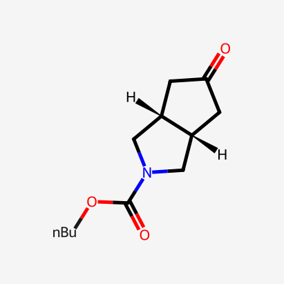 CCCCOC(=O)N1C[C@H]2CC(=O)C[C@H]2C1